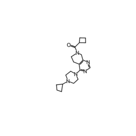 O=C(C1CCC1)N1CCc2c(ncnc2N2CCN(C3CCC3)CC2)C1